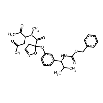 CC(=O)[C@H](CC(=O)O)N(C)C(=O)C1(Oc2cccc([C@@H](NC(=O)OCc3ccccc3)C(C)C)c2)CC=NO1